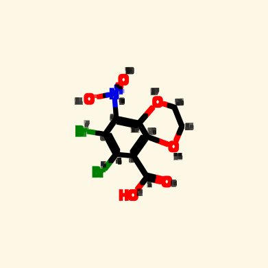 O=C(O)c1c(Br)c(Br)c([N+](=O)[O-])c2c1OCCO2